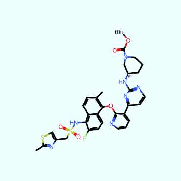 Cc1nc(CS(=O)(=O)Nc2c(F)ccc3c(Oc4ncccc4-c4ccnc(N[C@@H]5CCCN(C(=O)OC(C)(C)C)C5)n4)c(C)ccc23)cs1